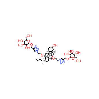 CCC[C@@H](C)[C@H]1CC[C@H]2[C@@H]3[C@H](OCCn4cc(CO[C@@H]5OC(CO)[C@@H](O)[C@H](O)C5O)nn4)C[C@@H]4C[C@H](O)CC[C@]4(C)[C@H]3C[C@H](OCCn3cc(CO[C@@H]4OC(CO)[C@@H](O)[C@H](O)C4O)nn3)[C@]12C